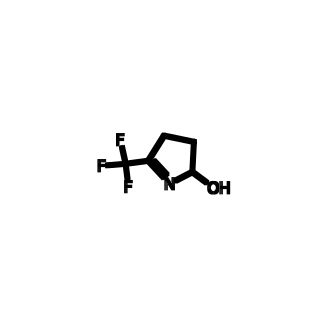 OC1CCC(C(F)(F)F)=N1